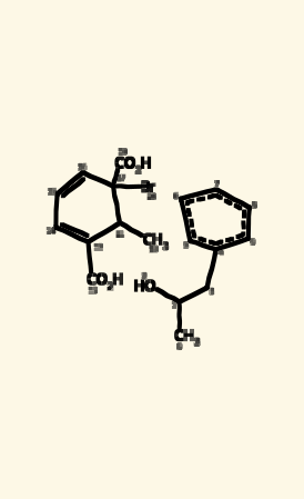 CC(O)Cc1ccccc1.CC1C(C(=O)O)=CC=CC1(Br)C(=O)O